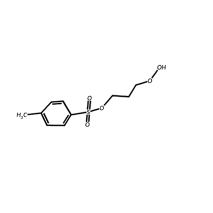 Cc1ccc(S(=O)(=O)OCCCOO)cc1